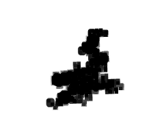 COc1ccc2c(CC(=O)N3CCC[C@H]3C(=O)N[C@@H](CC(C)C)C(=O)NCC(=O)N[C@@H](Cc3ccc4ccccc4c3)C(=O)N[C@@H](CNc3ccc([N+](=O)[O-])cc3[N+](=O)[O-])C(=O)N[C@@H](C)C(=O)N[C@@H](CCCNC(=N)N)C(N)=O)cc(=O)oc2c1